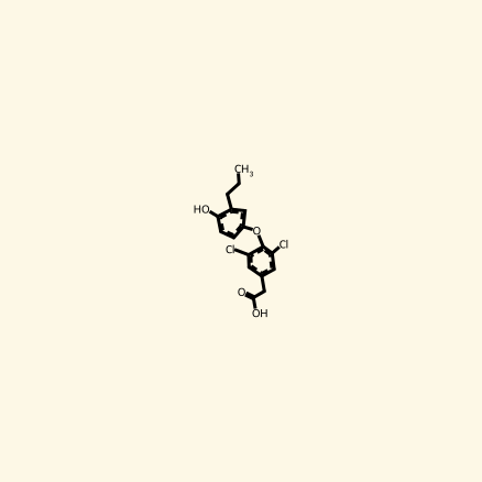 CCCc1cc(Oc2c(Cl)cc(CC(=O)O)cc2Cl)ccc1O